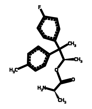 Cc1ccc(C(C)(c2ccc(F)cc2)[C@@H](C)OC(=O)[C@H](C)N)cc1